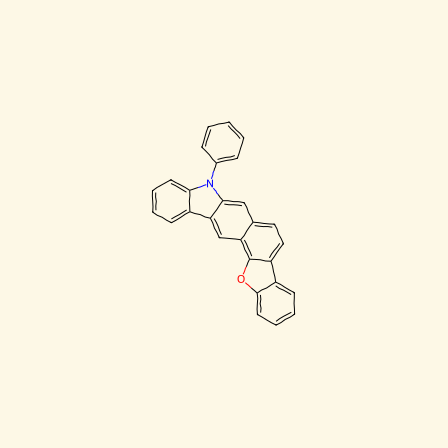 c1ccc(-n2c3ccccc3c3cc4c(ccc5c6ccccc6oc45)cc32)cc1